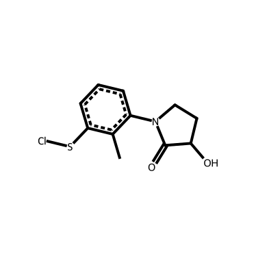 Cc1c(SCl)cccc1N1CCC(O)C1=O